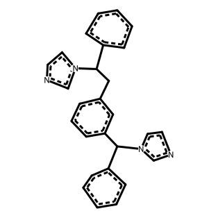 c1ccc(C(Cc2cccc(C(c3ccccc3)n3ccnc3)c2)n2ccnc2)cc1